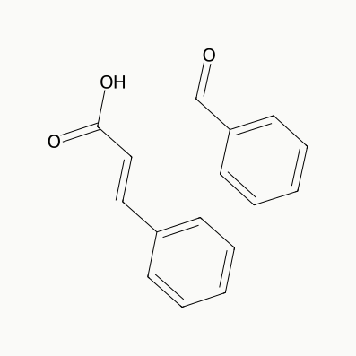 O=C(O)/C=C/c1ccccc1.O=Cc1ccccc1